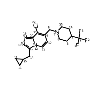 FC(F)(F)C1CCN(Cc2ccn3c(CC4CC4)nnc3c2Cl)CC1